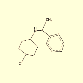 CC(NC1CCC(Cl)CC1)c1ccccc1